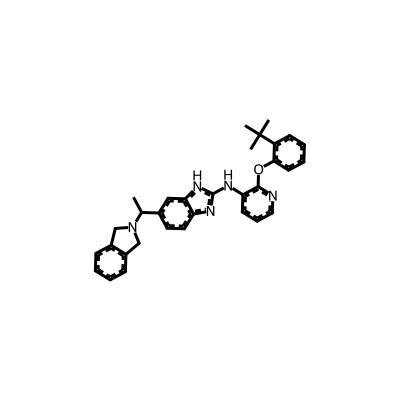 CC(c1ccc2nc(Nc3cccnc3Oc3ccccc3C(C)(C)C)[nH]c2c1)N1Cc2ccccc2C1